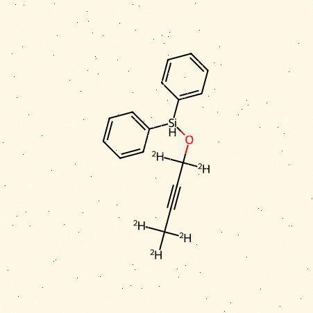 [2H]C([2H])([2H])C#CC([2H])([2H])O[SiH](c1ccccc1)c1ccccc1